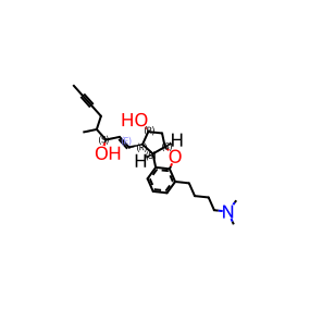 CC#CCC(C)[C@H](O)/C=C/[C@@H]1[C@H]2c3cccc(CCCCN(C)C)c3O[C@H]2C[C@H]1O